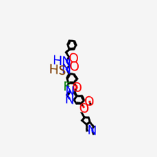 COc1cc2c(Oc3ccc(N(S)C(=O)NC(=O)Cc4ccccc4)cc3F)ncnc2cc1OCC1CC2CN(C)CC2C1